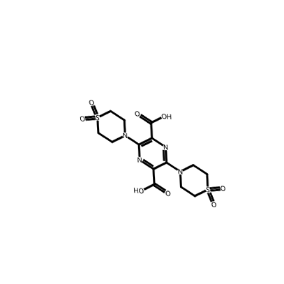 O=C(O)c1nc(N2CCS(=O)(=O)CC2)c(C(=O)O)nc1N1CCS(=O)(=O)CC1